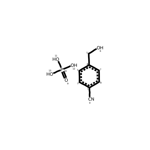 N#Cc1ccc(CO)cc1.O=P(O)(O)O